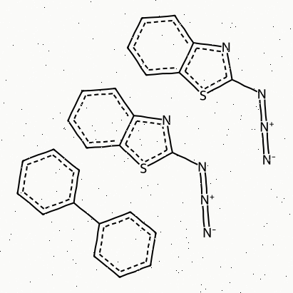 [N-]=[N+]=Nc1nc2ccccc2s1.[N-]=[N+]=Nc1nc2ccccc2s1.c1ccc(-c2ccccc2)cc1